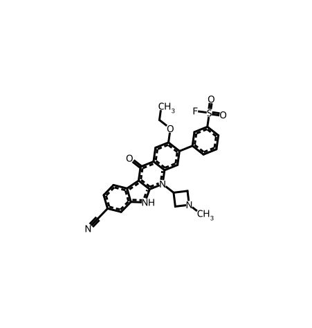 CCOc1cc2c(=O)c3c4ccc(C#N)cc4[nH]c3n(C3CN(C)C3)c2cc1-c1cccc(S(=O)(=O)F)c1